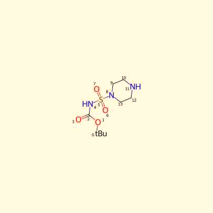 CC(C)(C)OC(=O)NS(=O)(=O)N1CCNCC1